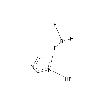 Cn1ccnc1.F.FB(F)F